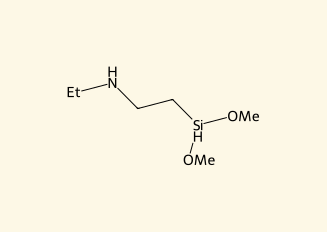 CCNCC[SiH](OC)OC